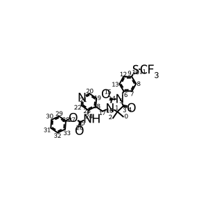 CC1(C)C(=O)N(c2ccc(SC(F)(F)F)cc2)C(=O)N1Cc1ccncc1NC(=O)Oc1ccccc1